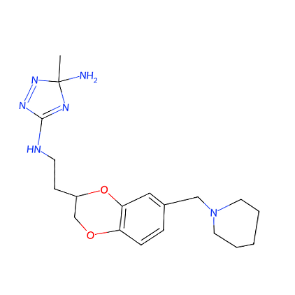 CC1(N)N=NC(NCCC2COc3ccc(CN4CCCCC4)cc3O2)=N1